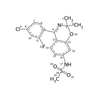 CC1(C)N=C(c2ccc(Cl)cc2F)c2ccc(NS(C)(=O)=O)cc2O1